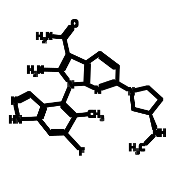 CN[C@@H]1CCN(c2ccc3c(C(N)=O)c(N)n(-c4c(C)c(F)cc5[nH]ncc45)c3n2)C1